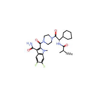 CN[C@@H](C)C(=O)N[C@H](C(=O)N1CCN(C(=O)c2c(C(N)=O)c3cc(F)c(F)cc3n2C)CC1)C1CCCCC1